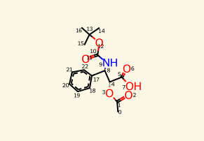 CC(=O)O[C@@H](C(=O)O)[C@@H](NC(=O)OC(C)(C)C)c1ccccc1